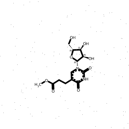 COC(=O)CCc1cn([C@@H]2O[C@H](CO)[C@@H](O)[C@H]2O)c(=O)[nH]c1=O